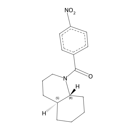 O=C(c1ccc([N+](=O)[O-])cc1)N1CCC[C@@H]2CCCC[C@H]21